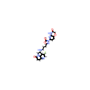 O=C1COc2ccc(-n3nc(CCCN[C@H]4Cn5c(=O)ccc6ncc(F)c4c65)oc3=O)nc2N1